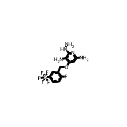 NNc1nc(N)cc(OCc2cc(S(F)(F)(F)(F)F)ccc2F)c1N